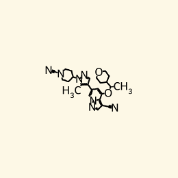 Cc1c(-c2cc(O[C@H](C)C3CCOCC3)c3c(C#N)cnn3c2)cnn1C1CCN(C#N)CC1